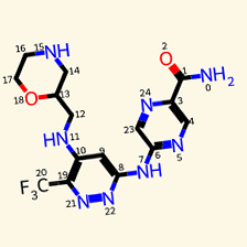 NC(=O)c1cnc(Nc2cc(NCC3CNCCO3)c(C(F)(F)F)nn2)cn1